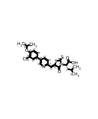 CC(C)C[C@@H](C(=O)O)N1C(=O)/C(=C/c2ccc(-c3ccc(OC(C)C)c(Cl)c3)cn2)SC1=S